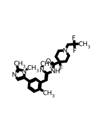 C=N/C(=C\c1cc(-c2cnc(C)n2C)ccc1C)NC(=O)C1(F)CCN(CC(C)(F)F)CC1